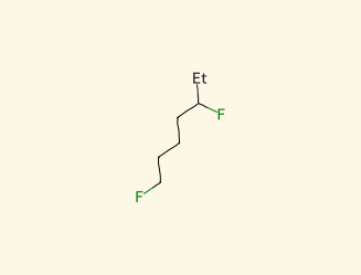 CCC(F)CCCCF